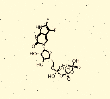 O=c1nc2[nH]c(F)c(F)c2cn1[C@@H]1O[C@H](COP(=O)(O)OP(=O)(O)OP(=O)(O)O)C(O)[C@@H]1O